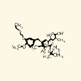 CCOCCOc1cc(C[C@@H](C[C@H](NC(=O)OC(C)(C)C)[C@@H](O)C[C@@H](C)C(=O)O)C(C)C)ccc1OC